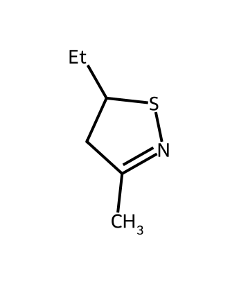 CCC1CC(C)=NS1